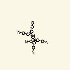 N#Cc1ccc(-c2ccc3c(c2)c2cc(-c4ccc(C#N)cc4)ccc2n3-c2cc(-c3cccc(C#N)c3)c(-n3c4ccc(-c5ccc(C#N)cc5)cc4c4cc(-c5ccc(C#N)cc5)ccc43)cn2)cc1